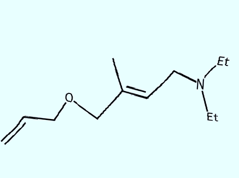 C=CCOC/C(C)=C/CN(CC)CC